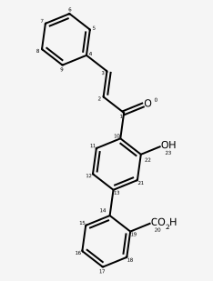 O=C(C=Cc1ccccc1)c1ccc(-c2ccccc2C(=O)O)cc1O